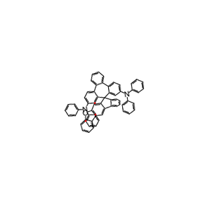 c1ccc(N(c2ccccc2)c2ccc3c(c2)C2(c4cc(N(c5ccccc5)c5ccccc5)ccc4-c4ccccc4-3)c3ccccc3-c3cc4c(cc32)oc2ccccc24)cc1